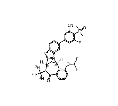 [2H]C([2H])([2H])N1C(=O)c2cccc(OC(F)F)c2[C@H]2C[C@@H]1c1nc3ccc(-c4cc(F)c(P(C)(C)=O)c(C#N)c4)cc3n12